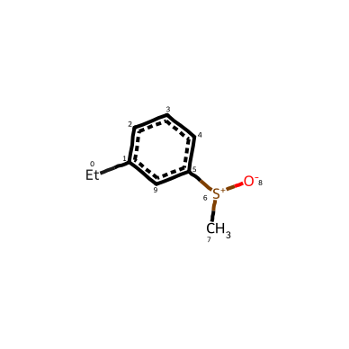 [CH2]Cc1cccc([S+](C)[O-])c1